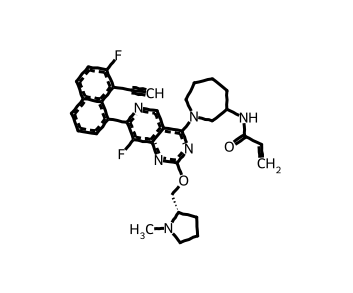 C#Cc1c(F)ccc2cccc(-c3ncc4c(N5CCCCC(NC(=O)C=C)C5)nc(OC[C@@H]5CCCN5C)nc4c3F)c12